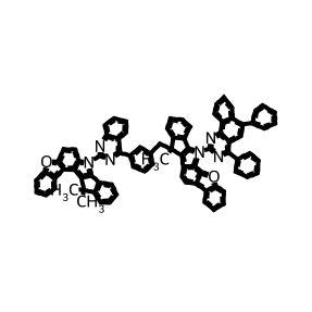 CC1(C)c2ccccc2-c2c1c1c3c(ccc1n2-c1nc(-c2cccc(CC4(C)c5ccccc5-c5c4c4ccc6c7ccccc7oc6c4n5-c4nc(-c5ccccc5)c5cc(-c6ccccc6)c6ccccc6c5n4)c2)c2ccccc2n1)oc1ccccc13